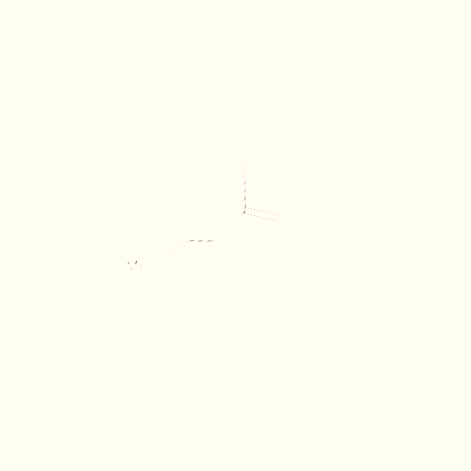 COCCC(=O)I